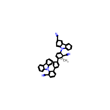 C[C@@H]1C(c2ccc(-c3cccc(C#N)c3-n3c4ccccc4c4ccccc43)cc2)=CC=C(n2c3ccccc3c3cc(C#N)ccc32)C1C#N